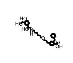 O=C(O)c1ccc(CCCOCCCCCCNCC(O)c2ccc(O)c(CO)c2)cc1Cc1ccccc1